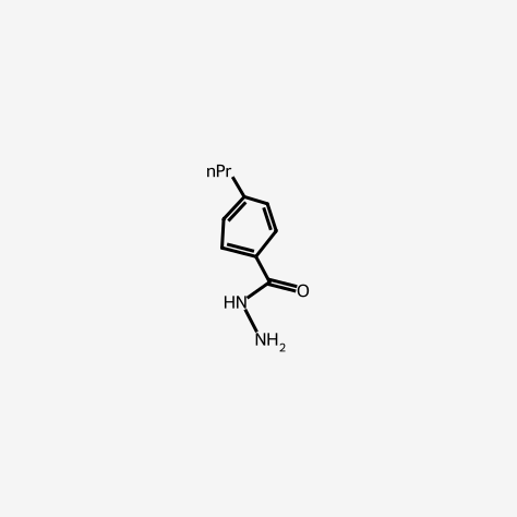 CCCc1ccc(C(=O)NN)cc1